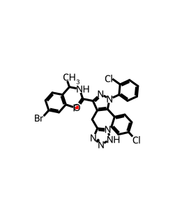 CC(NC(=O)c1nn(-c2ccccc2Cl)c(-c2ccc(Cl)cc2)c1Cc1nn[nH]n1)c1ccc(Br)cc1F